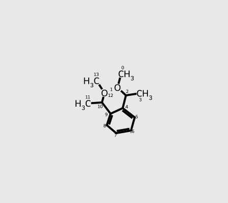 COC(C)c1c[c]ccc1C(C)OC